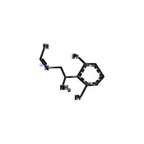 CC/C=N\CC(N)c1c(C(C)C)cccc1C(C)C